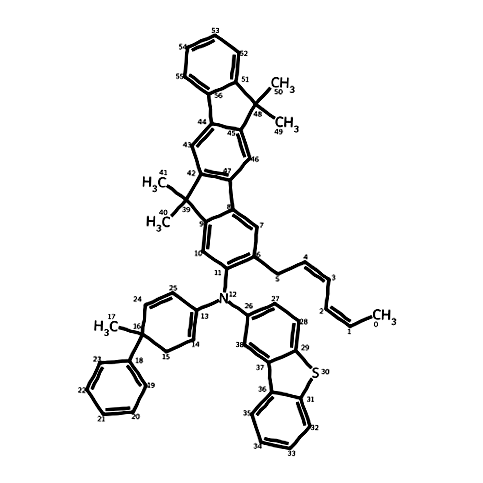 C/C=C\C=C/Cc1cc2c(cc1N(C1=CCC(C)(c3ccccc3)C=C1)c1ccc3sc4ccccc4c3c1)C(C)(C)c1cc3c(cc1-2)C(C)(C)c1ccccc1-3